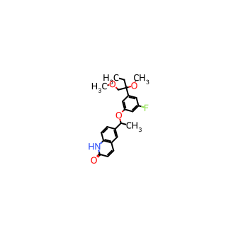 CCC(COC)(OC)c1cc(F)cc(OC(C)c2ccc3[nH]c(=O)ccc3c2)c1